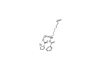 CCCCCCCCCCCCCCCCCC(=O)O.O=C(OO)c1ccccc1.O=C(OO)c1ccccc1.[Zn]